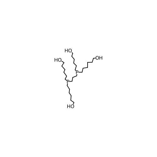 OCCCCCCP(CCCCCCO)CCCP(CCCCCCO)CCCCCCO